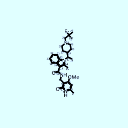 COc1cc(C)[nH]c(=O)c1CNC(=O)c1c(C)n(C(C)C2CCN(CC(C)(F)F)CC2)c2ccccc12